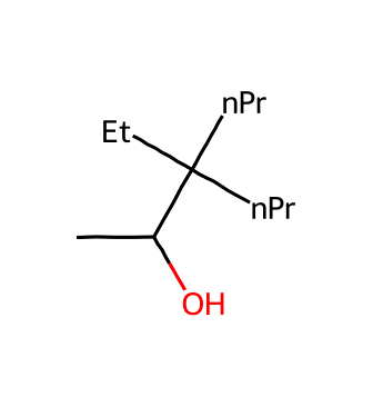 CCCC(CC)(CCC)C(C)O